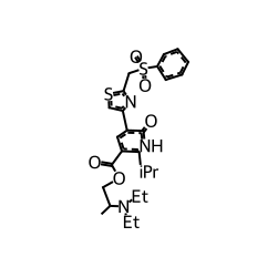 CCN(CC)C(C)COC(=O)c1cc(-c2csc(CS(=O)(=O)c3ccccc3)n2)c(=O)[nH]c1C(C)C